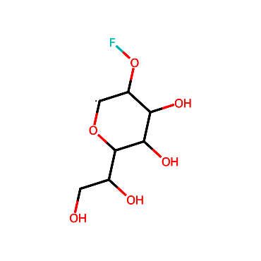 OCC(O)C1O[CH]C(OF)C(O)C1O